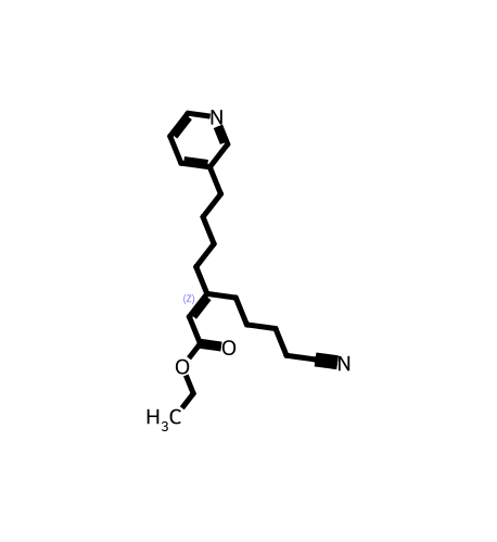 CCOC(=O)/C=C(\CCCCC#N)CCCCc1cccnc1